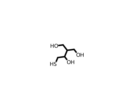 OCC(CO)C(O)CS